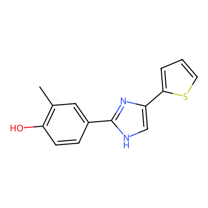 Cc1cc(-c2nc(-c3cccs3)c[nH]2)ccc1O